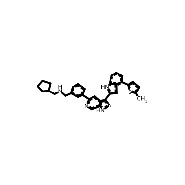 Cc1ccc(-c2cccc3[nH]c(-c4n[nH]c5cnc(-c6cccc(CNCC7CCCC7)c6)cc45)cc23)s1